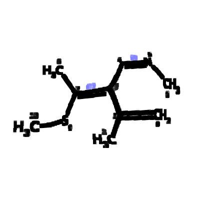 C=C(C)C(/C=N\C)=C(/C)SC